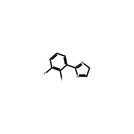 Fc1cccc(C2=NCC=N2)c1F